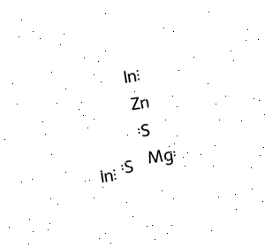 [In].[In].[Mg].[S].[S].[Zn]